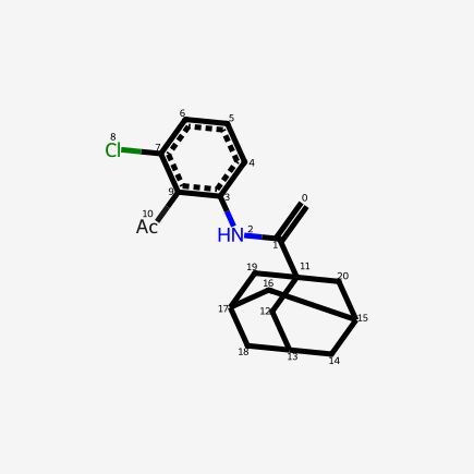 C=C(Nc1cccc(Cl)c1C(C)=O)C12CC3CC(CC(C3)C1)C2